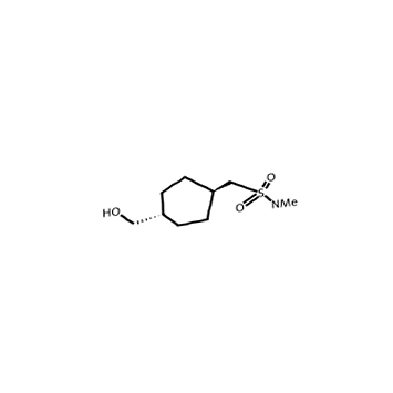 CNS(=O)(=O)C[C@H]1CC[C@H](CO)CC1